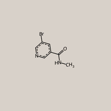 CNC(=O)c1cncc(Br)c1